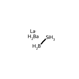 B[SiH3].[BaH2].[La]